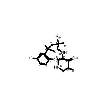 COc1ccc(F)cc1C(C)(C)CC(O)(CNC1CNCC(C)C1=O)C(F)(F)F